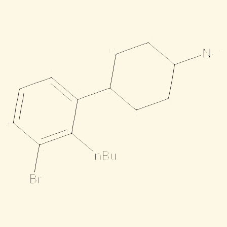 CCCCc1c(Br)cccc1C1CCC([N])CC1